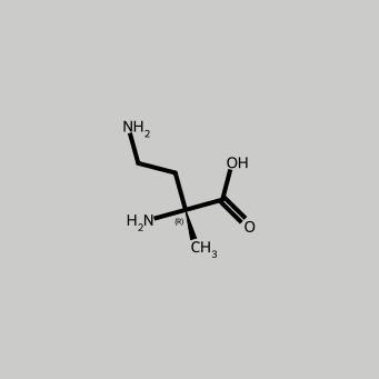 C[C@@](N)(CCN)C(=O)O